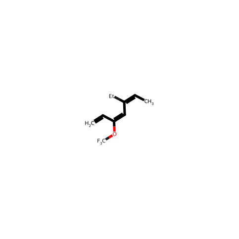 C=C/C(=C\C(=C/C)CC)OC(F)(F)F